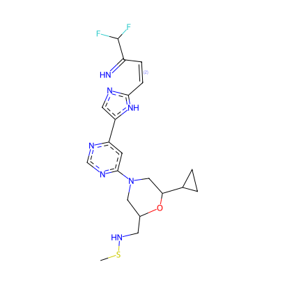 CSNCC1CN(c2cc(-c3cnc(/C=C\C(=N)C(F)F)[nH]3)ncn2)CC(C2CC2)O1